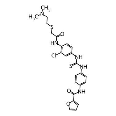 CN(C)CCSCC(=O)Nc1ccc(NC(=S)Nc2ccc(NC(=O)c3ccco3)cc2)cc1Cl